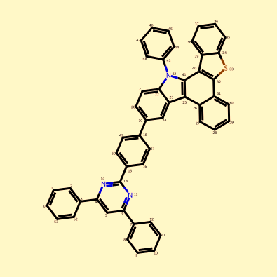 c1ccc(-c2cc(-c3ccccc3)nc(-c3ccc(-c4ccc5c(c4)c4c6ccccc6c6sc7ccccc7c6c4n5-c4ccccc4)cc3)n2)cc1